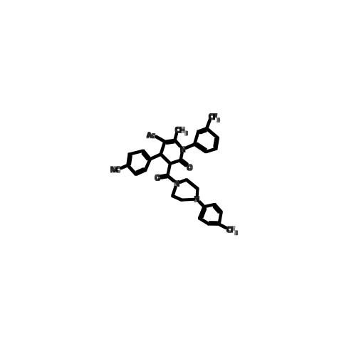 CC(=O)C1=C(C)N(c2cccc(C(F)(F)F)c2)C(=O)C(C(=O)N2CCN(c3ccc(C(F)(F)F)cc3)CC2)C1c1ccc(C#N)cc1